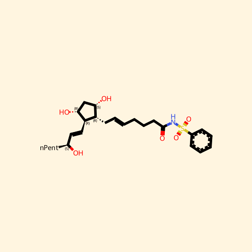 CCCCC[C@H](O)C=C[C@@H]1[C@@H](CC=CCCCC(=O)NS(=O)(=O)c2ccccc2)[C@@H](O)C[C@H]1O